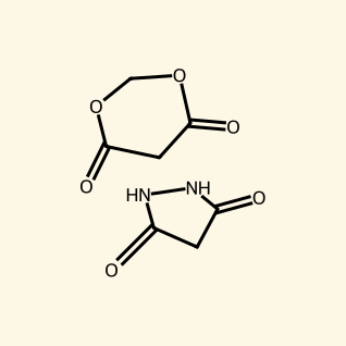 O=C1CC(=O)NN1.O=C1CC(=O)OCO1